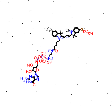 CC[N+]1=C(/C=C/C=C2/N(CCCCC(=O)NCCNP(=O)(O)OP(=O)(O)OP(=O)(O)OCC3OC(n4cnc5c(=O)[nH]c(N)nc54)C(O)C3O)c3ccc(S(=O)(=O)O)cc3C2(C)C)C(C)(C)c2cc(SOOO)ccc21